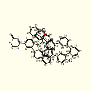 C=C/C=C(\C=C/C)c1ccc2c(c1)c1ccccc1n2-c1c(-c2cccc(-c3ccc4oc5cccc(-c6cccc(-c7nc(-c8ccccc8)nc(-c8ccccc8)n7)c6)c5c4c3)c2)ccc2oc3ccccc3c12